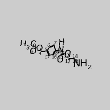 CC(=O)OCc1ccc(NC(=O)OCCN)cc1